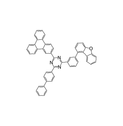 c1ccc(-c2ccc(-c3nc(-c4cccc(-c5cccc6oc7ccccc7c56)c4)nc(-c4ccc5c6ccccc6c6ccccc6c5c4)n3)cc2)cc1